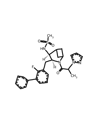 CC(C(=O)N1C2CC(C2)[C@H](NS(C)(=O)=O)[C@@H]1Cc1cccc(-c2ccccc2)c1F)n1cccn1